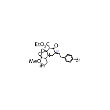 CCOC(=O)C1C(=O)/C(=C/Cc2ccc(Br)cc2)CN(C(CC(C)C)C(=O)OC)C1=O